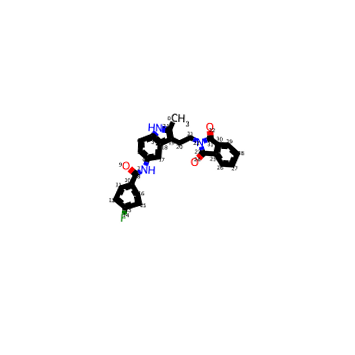 Cc1[nH]c2ccc(NC(=O)c3ccc(F)cc3)cc2c1CCN1C(=O)c2ccccc2C1=O